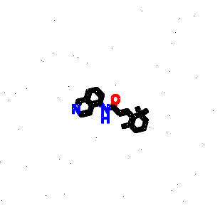 CC1=C(/C=C/C(=O)Nc2cccc3cnccc23)C(C)(C)CCC1